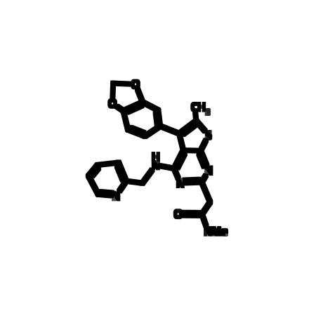 CNC(=O)Cc1nc(NCc2ccccn2)c2c(-c3ccc4c(c3)OCO4)c(C)sc2n1